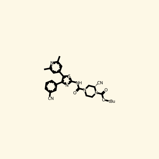 Cc1cc(-c2sc(NC(=O)N3CCN(C(=O)OC(C)(C)C)[C@@H](C#N)C3)nc2-c2cccc(C#N)c2)cc(C)n1